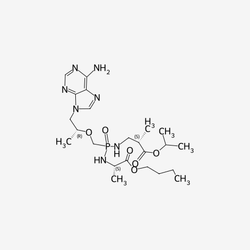 CCCCOC(=O)[C@H](C)NP(=O)(CO[C@H](C)Cn1cnc2c(N)ncnc21)NC[C@H](C)C(=O)OC(C)C